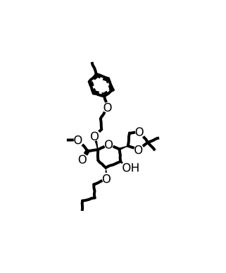 CCCCO[C@@H]1C[C@](OCCOc2ccc(C)cc2)(C(=O)OC)OC([C@H]2COC(C)(C)O2)[C@@H]1O